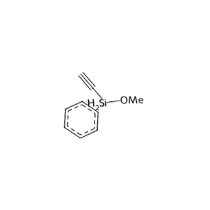 C#C[SiH2]OC.c1ccccc1